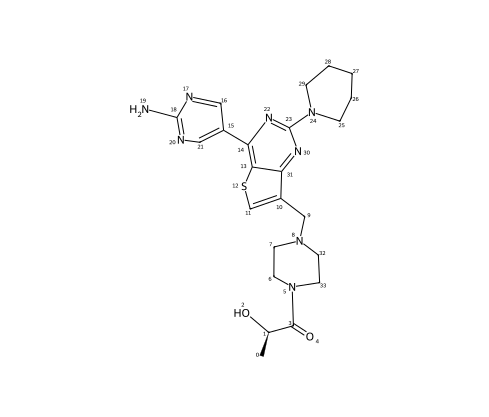 C[C@@H](O)C(=O)N1CCN(Cc2csc3c(-c4cnc(N)nc4)nc(N4CCCCC4)nc23)CC1